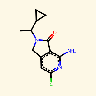 CC(C1CC1)N1Cc2cc(Cl)nc(N)c2C1=O